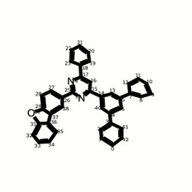 c1ccc(-c2cc(-c3ccccc3)cc(-c3cc(-c4ccccc4)nc(-c4ccc5oc6ccccc6c5c4)n3)c2)cc1